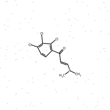 CN(C)C=CC(=O)c1ccc(Cl)c(Cl)c1Cl